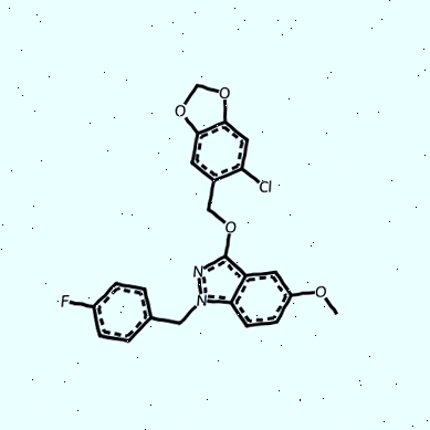 COc1ccc2c(c1)c(OCc1cc3c(cc1Cl)OCO3)nn2Cc1ccc(F)cc1